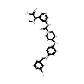 COC(C(=O)O)c1cncc(OC(=O)N2CCC(Oc3ccc(OCc4cccc(F)c4)cc3)CC2)c1